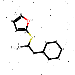 O=C(O)C(CC1CCCCC1)Sc1ccco1